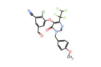 COc1ccc(Cn2cnc(C(F)(F)C(F)F)c(Oc3cc(C=O)cc(C#N)c3Cl)c2=O)cc1